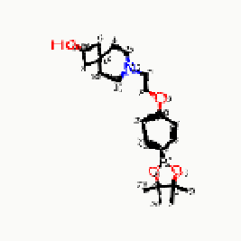 CC1(C)OB(c2ccc(OCCN3CCC4(CC3)CC(O)C4)cc2)OC1(C)C